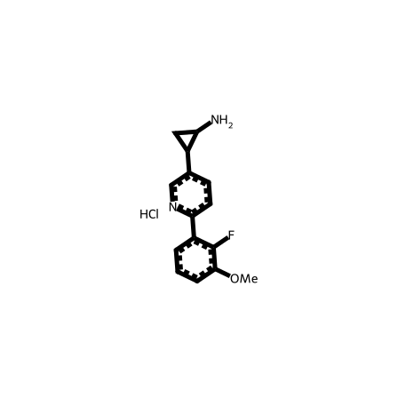 COc1cccc(-c2ccc(C3CC3N)cn2)c1F.Cl